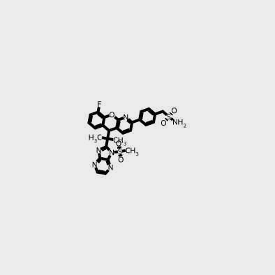 CC(C)(c1nc2nccnc2n1S(C)(=O)=O)C1c2ccc(-c3ccc(CS(N)(=O)=O)cc3)nc2Oc2c(F)cccc21